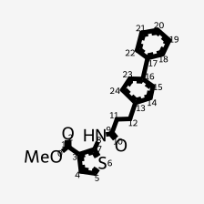 COC(=O)c1ccsc1NC(=O)CCc1ccc(-c2ccccc2)cc1